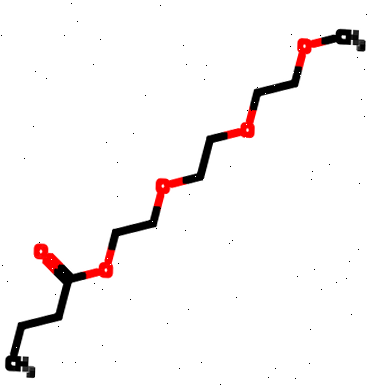 CCCC(=O)OCCOCCOCCOC